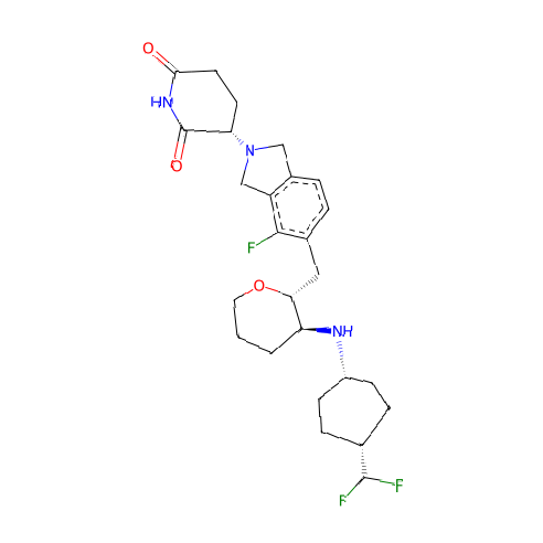 O=C1CC[C@H](N2Cc3ccc(C[C@H]4OCCC[C@@H]4N[C@H]4CC[C@@H](C(F)F)CC4)c(F)c3C2)C(=O)N1